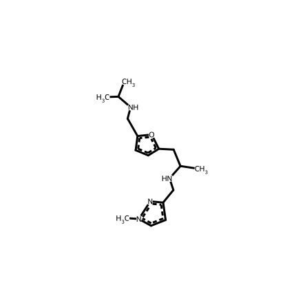 CC(C)NCc1ccc(CC(C)NCc2ccn(C)n2)o1